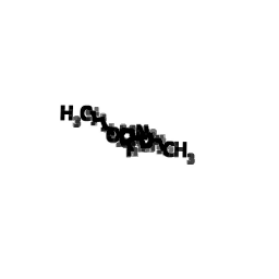 CCCCCCOc1ccc(-c2ccc(CCC)cn2)c(F)c1